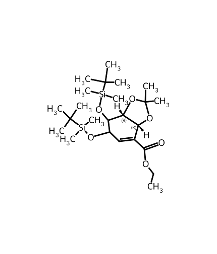 CCOC(=O)C1=CC(O[Si](C)(C)C(C)(C)C)C(O[Si](C)(C)C(C)(C)C)[C@@H]2OC(C)(C)O[C@H]12